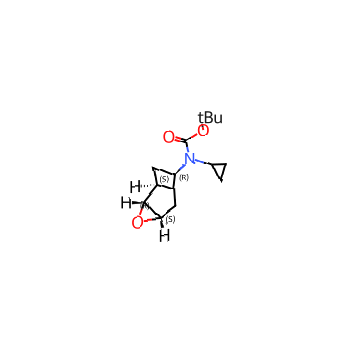 CC(C)(C)OC(=O)N(C1CC1)[C@@H]1C[C@H]2C1C[C@@H]1O[C@@H]12